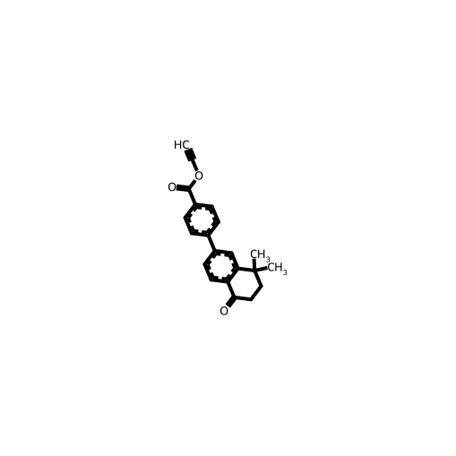 C#COC(=O)c1ccc(-c2ccc3c(c2)C(C)(C)CCC3=O)cc1